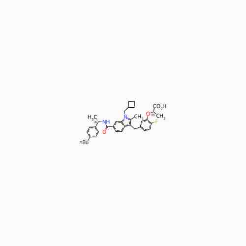 CCCCc1ccc([C@H](C)NC(=O)c2ccc3c(Cc4ccc(F)c(O[C@H](C)C(=O)O)c4)c(C)n(CC4CCC4)c3c2)cc1